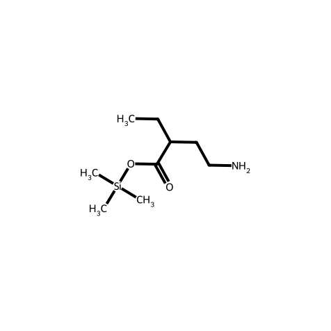 CCC(CCN)C(=O)O[Si](C)(C)C